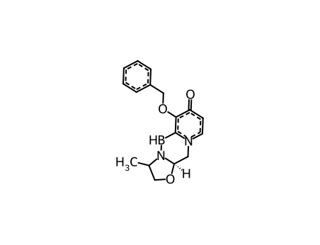 CC1CO[C@@H]2Cn3ccc(=O)c(OCc4ccccc4)c3BN12